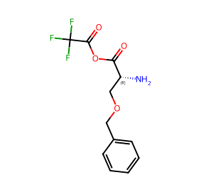 N[C@H](COCc1ccccc1)C(=O)OC(=O)C(F)(F)F